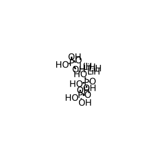 O=P(O)(O)O.O=P(O)(O)O.O=P(O)(O)O.[LiH].[LiH].[LiH].[LiH]